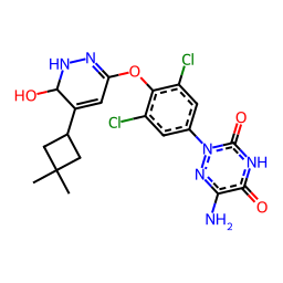 CC1(C)CC(C2=CC(Oc3c(Cl)cc(-n4nc(N)c(=O)[nH]c4=O)cc3Cl)=NNC2O)C1